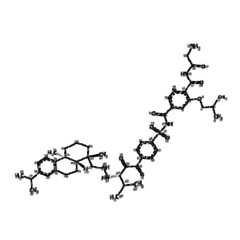 CC(C)COc1cc(C(=O)NS(=O)(=O)c2ccc(C(=O)C(=O)[C@@H](NNC[C@@]3(C)CCC[C@]4(C)c5ccc(C(C)C)cc5CC[C@@H]34)C(C)C)cc2)cnc1C(=O)NC(=O)CN